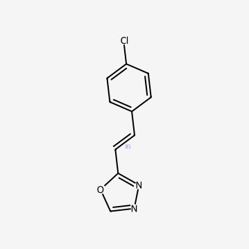 Clc1ccc(/C=C/c2nnco2)cc1